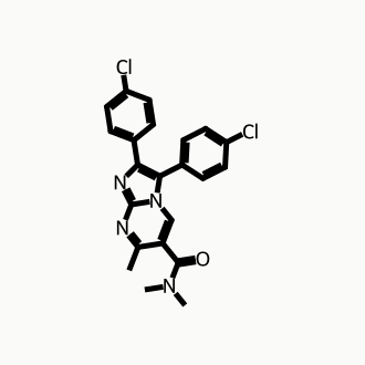 Cc1nc2nc(-c3ccc(Cl)cc3)c(-c3ccc(Cl)cc3)n2cc1C(=O)N(C)C